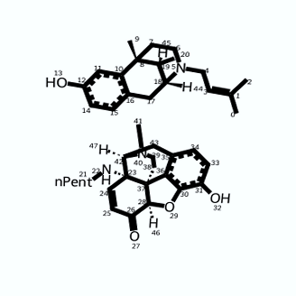 CC(C)=CCN1CC[C@@]2(C)c3cc(O)ccc3C[C@@H]1[C@@H]2C.CCCCCN[C@@]12C=CC(=O)[C@@H]3Oc4c(O)ccc5c4[C@@]31CCN(C)[C@@H]2C5